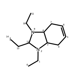 CCN1C2CC=CCC2N(CC)C1CI